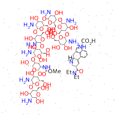 CCN(CC)C(=O)[C@@H]1C=C2c3cccc4[nH]cc(c34)C[C@H]2N(C)C1.COC(=O)N[C@H]1[C@H](O[C@H]2[C@H](O)[C@@H](N)[C@H](O[C@H]3[C@H](O)[C@@H](N)[C@H](O)O[C@@H]3CO)O[C@@H]2CO)O[C@H](CO)[C@@H](O[C@@H]2O[C@H](CO)[C@@H](O[C@@H]3O[C@H](CO)[C@@H](O[C@@H]4O[C@H](CO)[C@@H](O[C@@H]5O[C@H](CO)[C@@H](O[C@@H]6O[C@H](CO)[C@@H](O[C@@H]7O[C@H](CO)[C@@H](O)[C@H](O)[C@H]7N)[C@H](O)[C@H]6N)[C@H](O)[C@H]5N)[C@H](O)[C@H]4N)[C@H](O)[C@H]3N)[C@H](O)[C@H]2N)[C@@H]1O.[CH2]C(=O)O